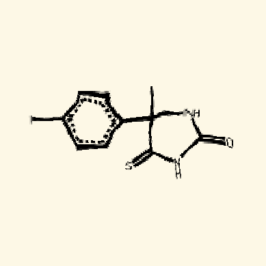 CC1(c2ccc(I)cc2)NC(=O)NC1=S